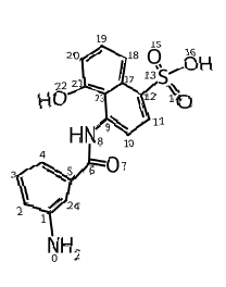 Nc1cccc(C(=O)Nc2ccc(S(=O)(=O)O)c3cccc(O)c23)c1